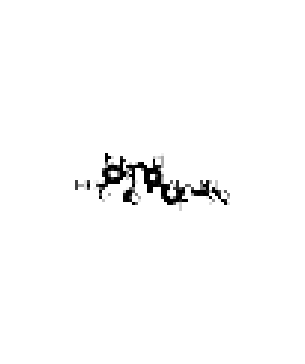 COc1nnc(COc2nc(-c3cc(Cl)c(Cc4nc5c(F)cc(C(=O)O)cc5n4C[C@@H]4CCO4)cc3C)ccc2F)s1